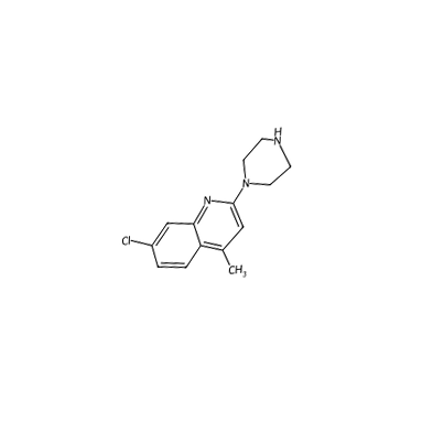 Cc1cc(N2CCNCC2)nc2cc(Cl)ccc12